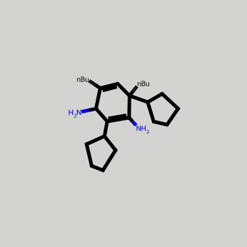 CCCCC1=CC(CCCC)(C2CCCC2)C(N)=C(C2CCCC2)C1N